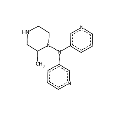 CC1CNCCN1N(c1cccnc1)c1cccnc1